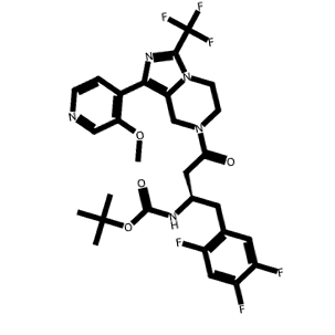 COc1cnccc1-c1nc(C(F)(F)F)n2c1CN(C(=O)C[C@@H](Cc1cc(F)c(F)cc1F)NC(=O)OC(C)(C)C)CC2